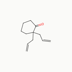 C=CCC1(CC=C)CCCCC1=O